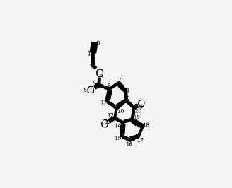 C#CCOC(=O)c1ccc2c(c1)C(=O)c1ccccc1C2=O